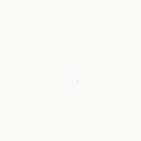 COCCCOc1cc(C[C@@H](C[C@H](NOC(C)(C)C)[C@@H](O)C[C@@H](C)C(=O)O)C(C)C)ccc1OC